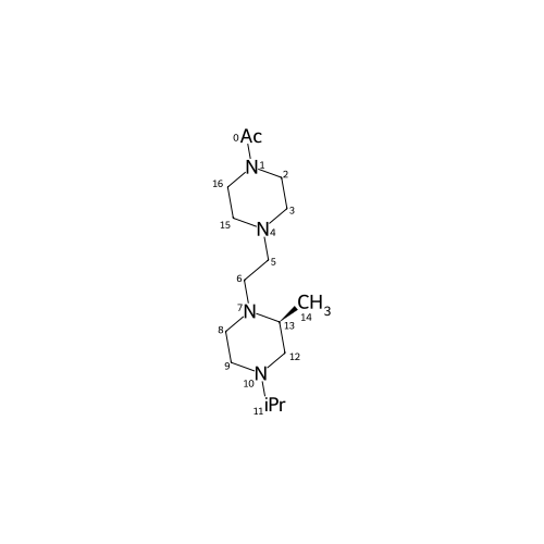 CC(=O)N1CCN(CCN2CCN(C(C)C)C[C@@H]2C)CC1